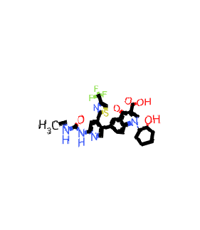 CCNC(=O)Nc1cc(-c2nc(C(F)(F)F)cs2)c(-c2ccc3c(c2)c(=O)c(C(=O)O)cn3[C@H]2CCCC[C@@H]2O)cn1